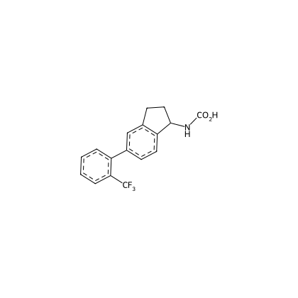 O=C(O)NC1CCc2cc(-c3ccccc3C(F)(F)F)ccc21